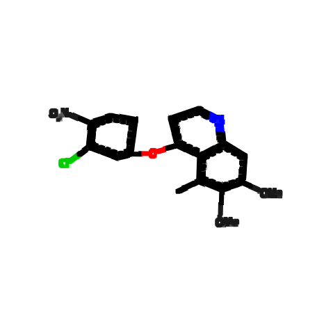 COc1cc2nccc(Oc3ccc([N+](=O)[O-])c(Cl)c3)c2c(C)c1OC